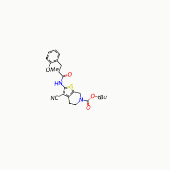 COc1ccccc1CCC(=O)Nc1sc2c(c1C#N)CCN(C(=O)OC(C)(C)C)C2